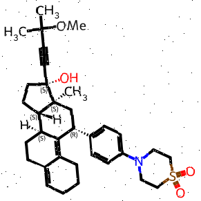 COC(C)(C)C#C[C@]1(O)CC[C@H]2[C@@H]3CCC4=CCCCC4=C3[C@@H](c3ccc(N4CCS(=O)(=O)CC4)cc3)C[C@@]21C